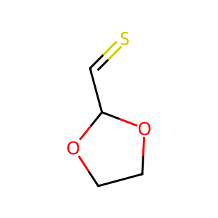 S=CC1OCCO1